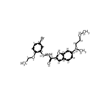 CCOc1ccc(Br)cc1SNC(=O)c1cc2ccc(N(C)CCOC)cc2o1